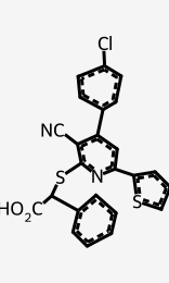 N#Cc1c(-c2ccc(Cl)cc2)cc(-c2cccs2)nc1SC(C(=O)O)c1ccccc1